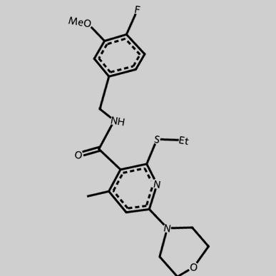 CCSc1nc(N2CCOCC2)cc(C)c1C(=O)NCc1ccc(F)c(OC)c1